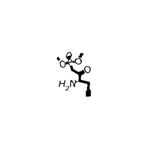 C#CC[C@H](N)C(=O)CP(=O)(OC)OC